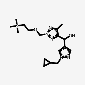 Cc1nn(COCCS(C)(C)C)nc1C(O)c1cnn(CC2CC2)c1